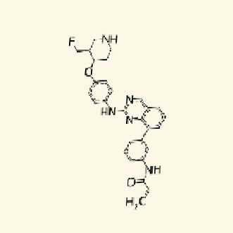 C=CC(=O)Nc1cccc(-c2cccc3cnc(Nc4ccc(O[C@@H]5CCNC[C@@H]5CF)cc4)nc23)c1